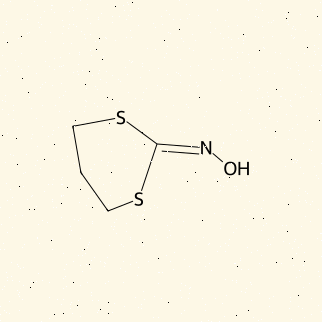 ON=C1SCCCS1